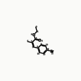 CCOC(=O)C(C)=Cc1ccc(Br)cc1